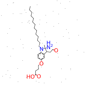 CCCCCCCCCCCCCCN1c2ccc(OCCCC(=O)O)cc2C(CC=O)C1(C)N